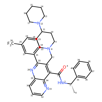 C[C@H](NC(=O)c1c(CN2CCC(N3CCCCC3)CC2)c(-c2cccc(C(F)(F)F)c2)nc2cccnc12)c1ccccc1